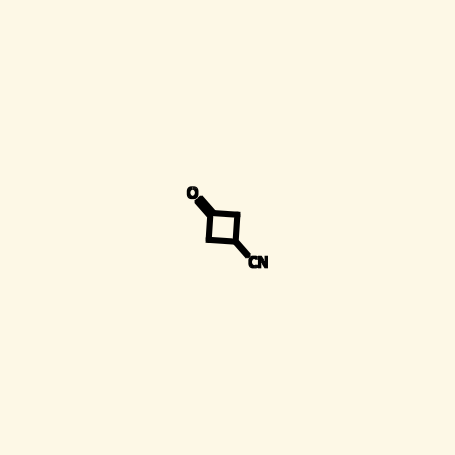 N#CC1CC(=O)C1